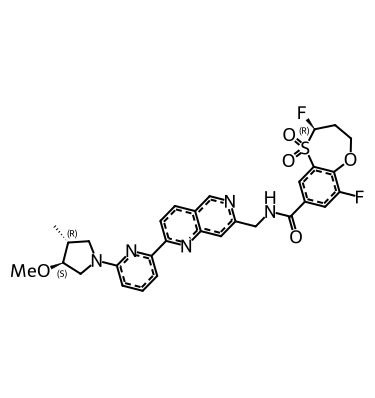 CO[C@@H]1CN(c2cccc(-c3ccc4cnc(CNC(=O)c5cc(F)c6c(c5)S(=O)(=O)[C@@H](F)CCO6)cc4n3)n2)C[C@H]1C